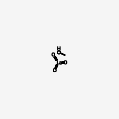 CO.[O]=[La](=[O])=[O]